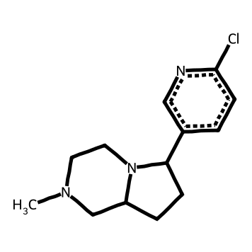 CN1CCN2C(CCC2c2ccc(Cl)nc2)C1